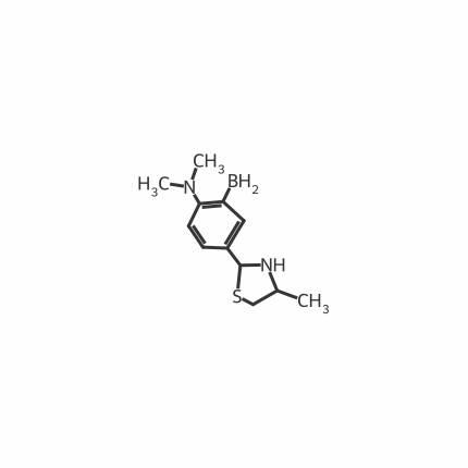 Bc1cc(C2NC(C)CS2)ccc1N(C)C